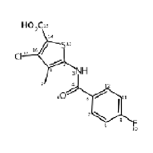 Cc1c(NC(=O)c2ccc(F)cc2)sc(C(=O)O)c1Cl